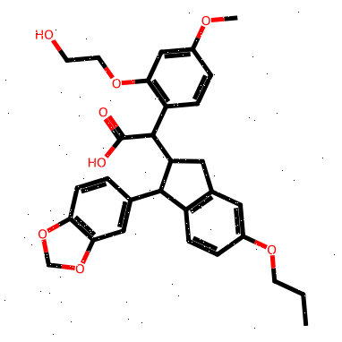 CCCOc1ccc2c(c1)CC(C(C(=O)O)c1ccc(OC)cc1OCCO)C2c1ccc2c(c1)OCO2